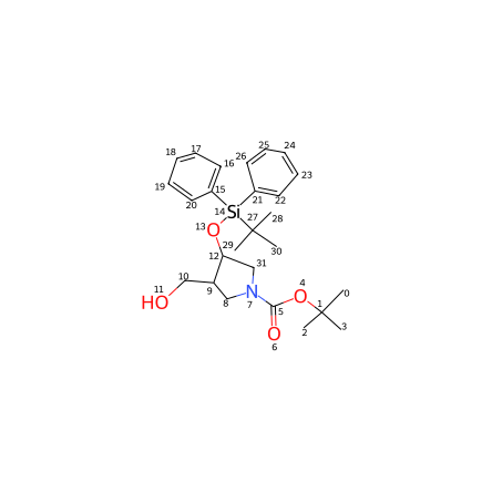 CC(C)(C)OC(=O)N1CC(CO)C(O[Si](c2ccccc2)(c2ccccc2)C(C)(C)C)C1